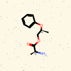 C[C@H](N)C(=O)OC[C@H](C)Oc1ccccc1